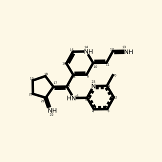 Cc1cccc(N/C(C2=C/C(=C/C=N)NC=C2)=C2/CCCC2=N)n1